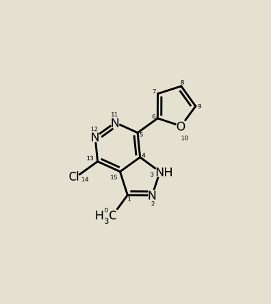 Cc1n[nH]c2c(-c3ccco3)nnc(Cl)c12